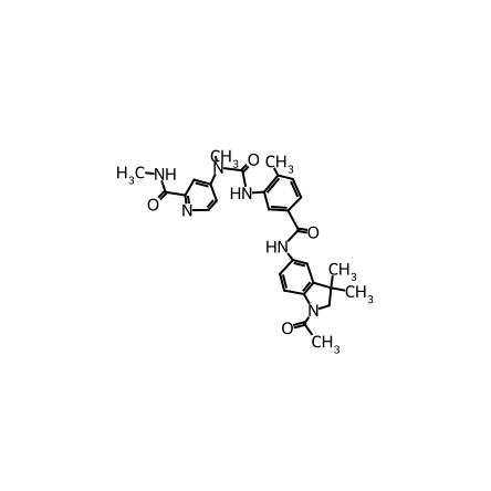 CNC(=O)c1cc(N(C)C(=O)Nc2cc(C(=O)Nc3ccc4c(c3)C(C)(C)CN4C(C)=O)ccc2C)ccn1